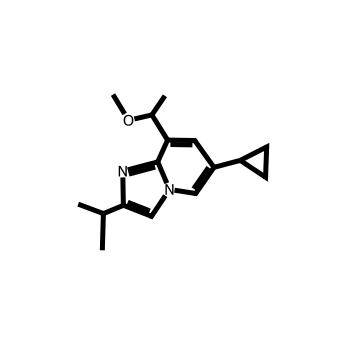 COC(C)c1cc(C2CC2)cn2cc(C(C)C)nc12